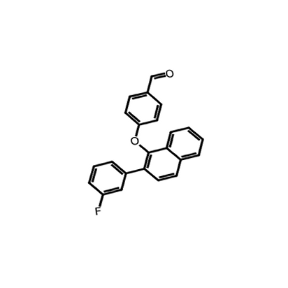 O=Cc1ccc(Oc2c(-c3cccc(F)c3)ccc3ccccc23)cc1